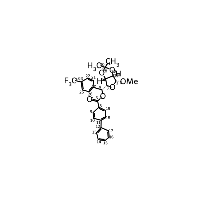 CO[C@@H]1O[C@H](C(OC(=O)c2ccc(-c3ccccc3)cc2)c2ccc(C(F)(F)F)cc2)[C@H]2OC(C)(C)O[C@@H]12